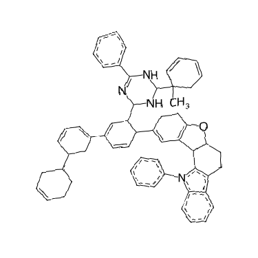 CC1(C2NC(c3ccccc3)=NC(C3C=C(C4=CC=CC(C5CC=CCC5)C4)C=CC3C3=CC4=C(CC3)OC3CCc5c(n(-c6ccccc6)c6ccccc56)C43)N2)C=CC=CC1